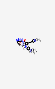 CCN(c1cc(C#CC2CCN(C)CC2)cc(C(=O)NCC2OCCc3nc[nH]c32)c1C)[C@H]1CC[C@H](N(C)C)CC1